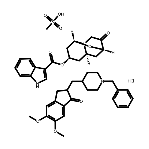 COc1cc2c(cc1OC)C(=O)C(CC1CCN(Cc3ccccc3)CC1)C2.CS(=O)(=O)O.Cl.O=C(O[C@@H]1C[C@@H]2C[C@@H]3C[C@H](C1)N2CC3=O)c1c[nH]c2ccccc12